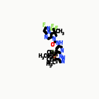 CC(O[Si](C)(C)C(C)(C)C)c1cnnn1-c1ncc(NC(=O)N2C[C@@](C)(C(F)(F)F)c3c2cnc2cc(F)nn32)cc1C(F)F